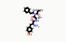 CC(C)CC(=O)N(C(=O)[C@@H](NC(=O)[C@@H](N)Cc1ccc(O)cc1)C(C)C)[C@H](C=O)Cc1ccccc1